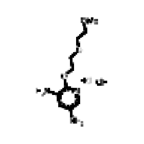 COCCOCCOc1ncc(N)cc1N.Cl.Cl